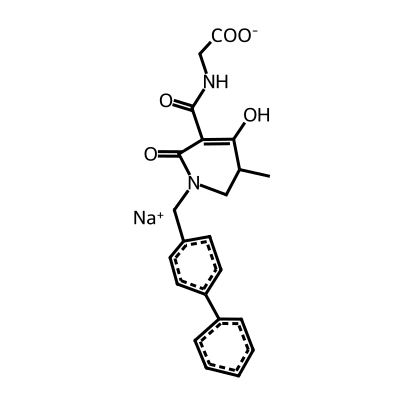 CC1CN(Cc2ccc(-c3ccccc3)cc2)C(=O)C(C(=O)NCC(=O)[O-])=C1O.[Na+]